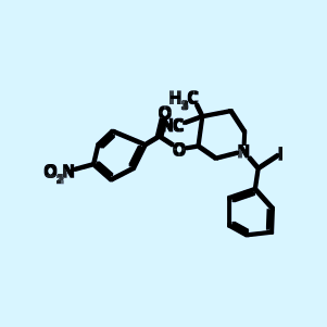 CC1(C#N)CCN(C(I)c2ccccc2)CC1OC(=O)c1ccc([N+](=O)[O-])cc1